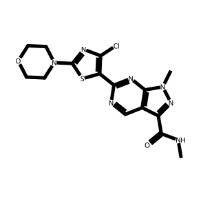 CNC(=O)c1nn(C)c2nc(-c3sc(N4CCOCC4)nc3Cl)ncc12